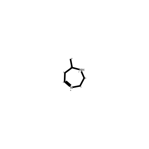 CC1CC=NCCN1